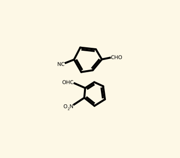 N#Cc1ccc(C=O)cc1.O=Cc1ccccc1[N+](=O)[O-]